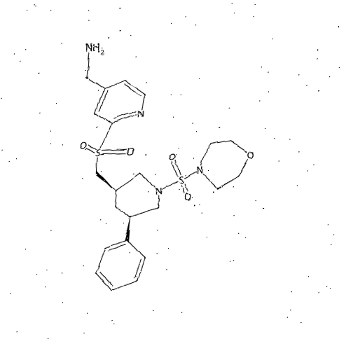 NCc1ccnc(S(=O)(=O)C[C@@H]2C[C@H](c3ccccc3)CN(S(=O)(=O)N3CCOCC3)C2)c1